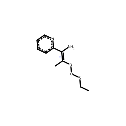 CCSOO/C(C)=C(\N)c1ccccn1